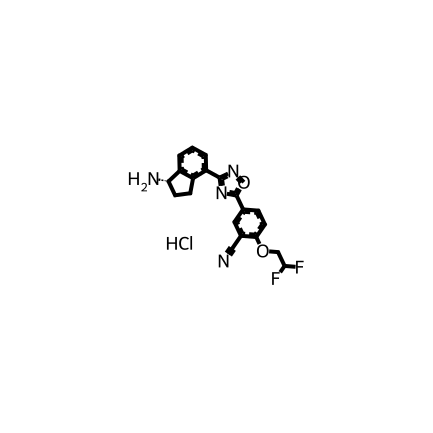 Cl.N#Cc1cc(-c2nc(-c3cccc4c3CC[C@@H]4N)no2)ccc1OCC(F)F